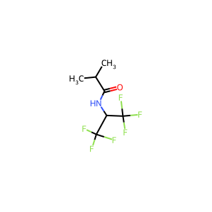 CC(C)C(=O)NC(C(F)(F)F)C(F)(F)F